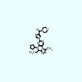 CCC1c2nnc(C)n2-c2cnc(-n3cnc(C(=O)N4CCOCC4)c3)nc2N1C1CCCC1